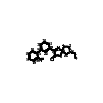 CCN1CCC2(CC(=O)C(c3cccc(-c4ccccc4F)c3)=N2)C1